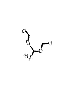 [CH2]C(OCCl)OCCl